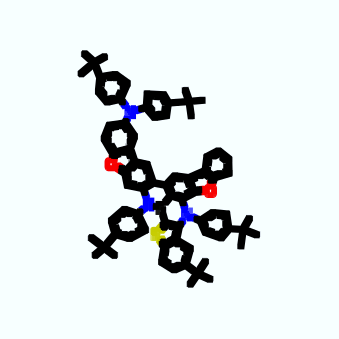 CC(C)(C)c1ccc(N2B3c4sc5ccc(C(C)(C)C)cc5c4N(c4ccc(C(C)(C)C)cc4)c4c3c(cc3c4oc4ccccc43)-c3cc4c(cc32)oc2ccc(N(c3ccc(C(C)(C)C)cc3)c3ccc(C(C)(C)C)cc3)cc24)cc1